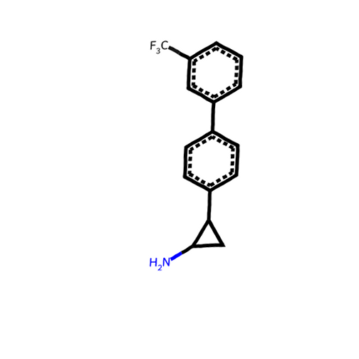 NC1CC1c1ccc(-c2cccc(C(F)(F)F)c2)cc1